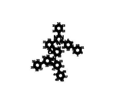 c1ccc(-c2ccc(-c3nc(-c4ccccc4)nc(-c4cccc5oc6c(-n7c8ccc(-c9ccccc9)cc8c8cc(-c9ccccc9)ccc87)cccc6c45)n3)cc2)cc1